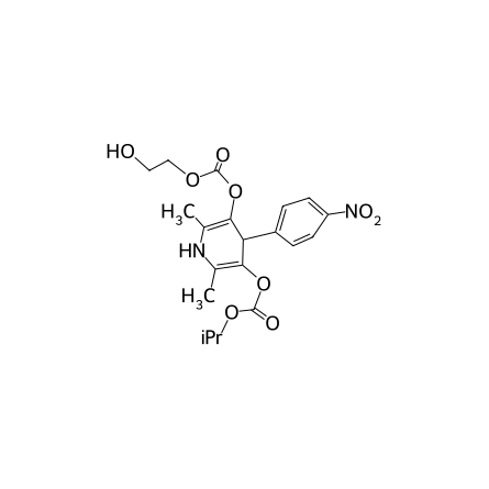 CC1=C(OC(=O)OCCO)C(c2ccc([N+](=O)[O-])cc2)C(OC(=O)OC(C)C)=C(C)N1